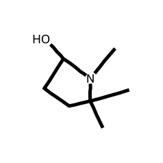 CN1C(O)CCC1(C)C